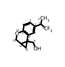 CC(c1ccc2c(c1)C1(CO)CC1CO2)C(F)(F)F